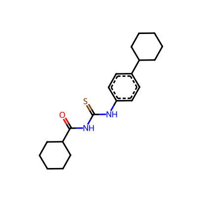 O=C(NC(=S)Nc1ccc(C2CCCCC2)cc1)C1CCCCC1